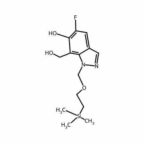 C[Si](C)(C)CCOCn1ncc2cc(F)c(O)c(CO)c21